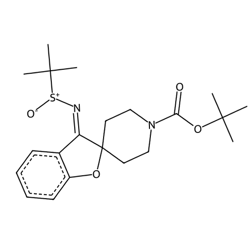 CC(C)(C)OC(=O)N1CCC2(CC1)Oc1ccccc1C2=N[S+]([O-])C(C)(C)C